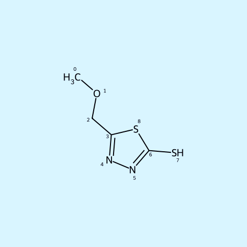 COCc1nnc(S)s1